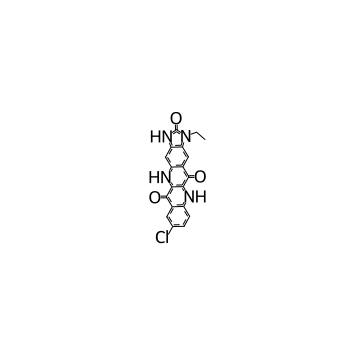 CCn1c(=O)[nH]c2cc3[nH]c4c(=O)c5cc(Cl)ccc5[nH]c4c(=O)c3cc21